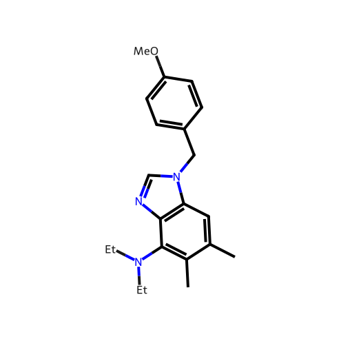 CCN(CC)c1c(C)c(C)cc2c1ncn2Cc1ccc(OC)cc1